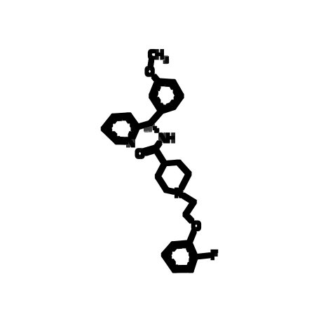 COc1cccc([C@H](NC(=O)C2CCN(CCOc3ccccc3F)CC2)c2ccccn2)c1